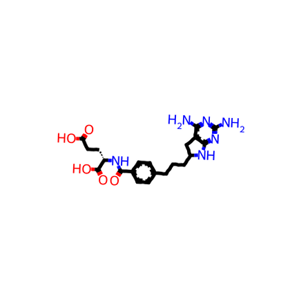 Nc1nc(N)c2c(n1)NC(CCCc1ccc(C(=O)N[C@@H](CCC(=O)O)C(=O)O)cc1)C2